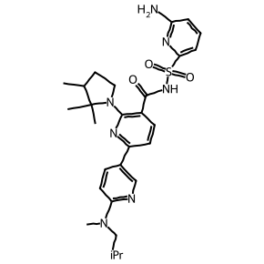 CC(C)CN(C)c1ccc(-c2ccc(C(=O)NS(=O)(=O)c3cccc(N)n3)c(N3CCC(C)C3(C)C)n2)cn1